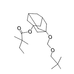 CCC(C)(C)C(=O)OC12CC3CC(CC(OCOCC(C)(C)C)(C3)C1)C2